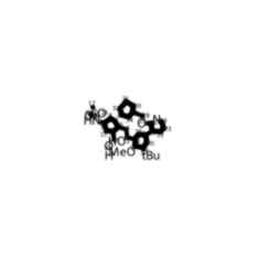 COc1c(C(O)Cc2ccc(NS(C)(=O)=O)cc2CO)cc(-c2cccnc2OCc2ccccc2)cc1C(C)(C)C